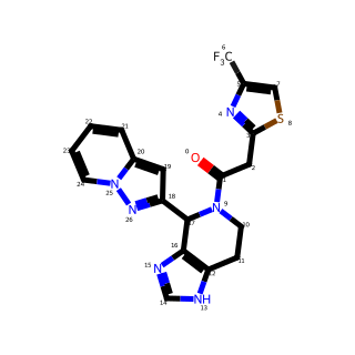 O=C(Cc1nc(C(F)(F)F)cs1)N1CCc2[nH]cnc2C1c1cc2ccccn2n1